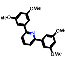 COc1cc(OC)cc(-c2cccc(-c3cc(OC)cc(OC)c3)n2)c1